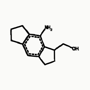 Nc1c2c(cc3c1C(CO)CC3)CCC2